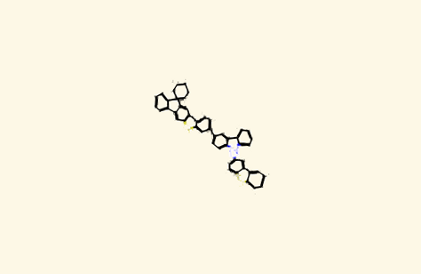 c1ccc2c(c1)-c1cc3sc4cc(-c5ccc6c(c5)c5ccccc5n6-c5ccc6sc7ccccc7c6c5)ccc4c3cc1C21CCCCC1